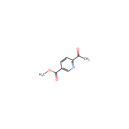 COC(=O)c1ccc(C(C)=O)nc1